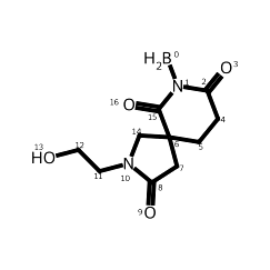 BN1C(=O)CCC2(CC(=O)N(CCO)C2)C1=O